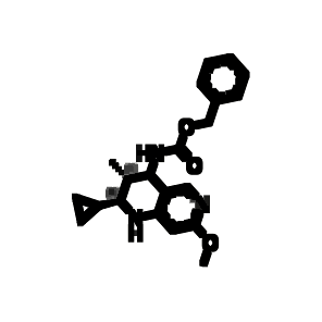 COc1cc2c(cn1)C(NC(=O)OCc1ccccc1)[C@@H](C)[C@H](C1CC1)N2